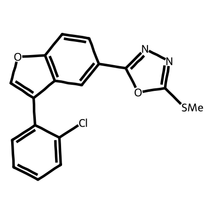 CSc1nnc(-c2ccc3occ(-c4ccccc4Cl)c3c2)o1